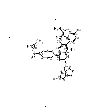 C[C@@H]1N[C@H]1C(=O)N1CC2CN(c3nc(OC[C@@]45CCCN4C[C@H](F)C5)nc4c(F)c(-c5ccc(F)c6sc(N)c(C#N)c56)c(Cl)cc34)CC2C1